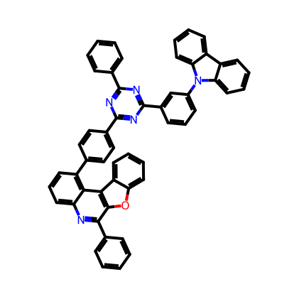 c1ccc(-c2nc(-c3ccc(-c4cccc5nc(-c6ccccc6)c6oc7ccccc7c6c45)cc3)nc(-c3cccc(-n4c5ccccc5c5ccccc54)c3)n2)cc1